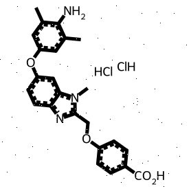 Cc1cc(Oc2ccc3nc(COc4ccc(C(=O)O)cc4)n(C)c3c2)cc(C)c1N.Cl.Cl